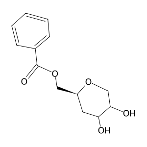 O=C(OC[C@@H]1CC(O)C(O)CO1)c1ccccc1